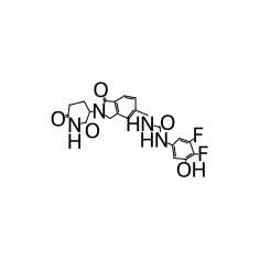 O=C1CCC(N2Cc3cc(CNC(=O)Nc4cc(O)c(F)c(F)c4)ccc3C2=O)C(=O)N1